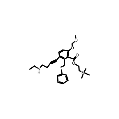 CCNCCC#Cc1ccc(OCOC)c(C(=O)OCC[Si](C)(C)C)c1CSc1ccccc1